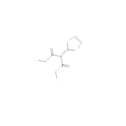 CC(C)CC(=O)C(C(=O)CC(C)C)=C1SC=CS1